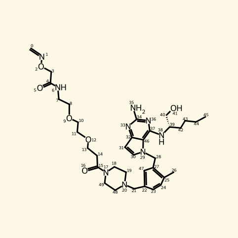 C=NOCC(=O)NCCOCCOCCC(=O)N1CCN(Cc2ccc(C)c(Cn3ccc4nc(N)nc(N[C@H](CO)CCCC)c43)c2)CC1